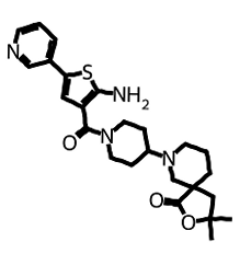 CC1(C)CC2(CCCN(C3CCN(C(=O)c4cc(-c5cccnc5)sc4N)CC3)C2)C(=O)O1